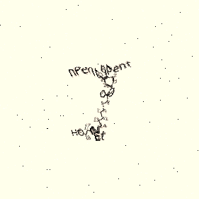 CCCCCc1ccc(OC(=O)CCCCCCCN(CC)CCO)cc1CCCCC